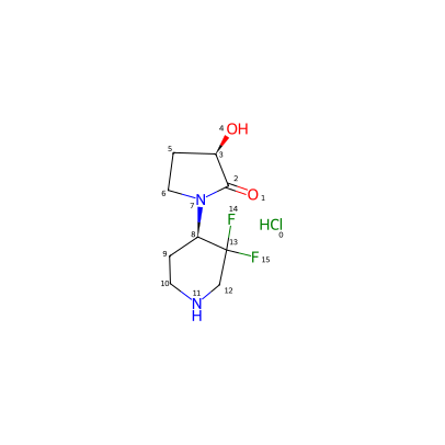 Cl.O=C1[C@H](O)CCN1[C@@H]1CCNCC1(F)F